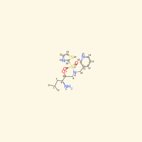 CC(C)C[C@H](N)C(=O)CN(Cc1cccnc1)S(=O)(=O)c1nccs1